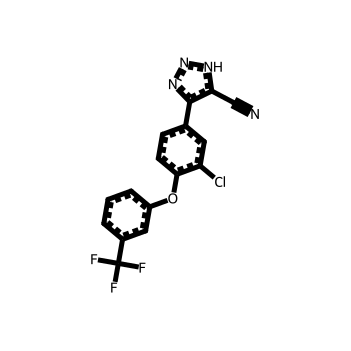 N#Cc1[nH]nnc1-c1ccc(Oc2cccc(C(F)(F)F)c2)c(Cl)c1